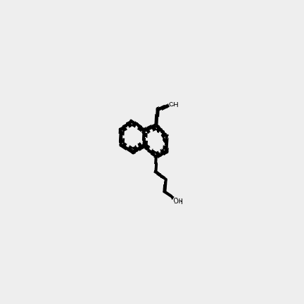 OCCCc1ccc(CO)c2ccccc12